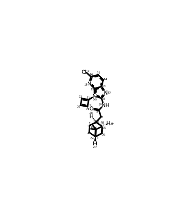 CC1(C)[C@H]2CC[C@@H](CC(=O)Nc3nc4ccc(Cl)nc4n3C3=CC=C3)[C@H]1C2